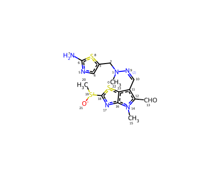 CN(Cc1cnc(N)s1)/N=C\c1c(C=O)n(C)c2nc([S+](C)[O-])sc12